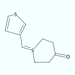 O=C1CCS(=Cc2ccsc2)CC1